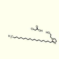 CCCCCCCCCCCCCCCCCCC1=NCCN1CCO.O=C(O)CCl